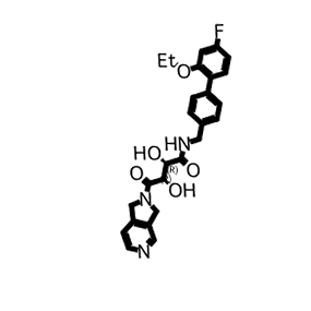 CCOc1cc(F)ccc1-c1ccc(CNC(=O)[C@H](O)[C@@H](O)C(=O)N2Cc3ccncc3C2)cc1